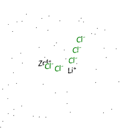 [Cl-].[Cl-].[Cl-].[Cl-].[Cl-].[Li+].[Zr+4]